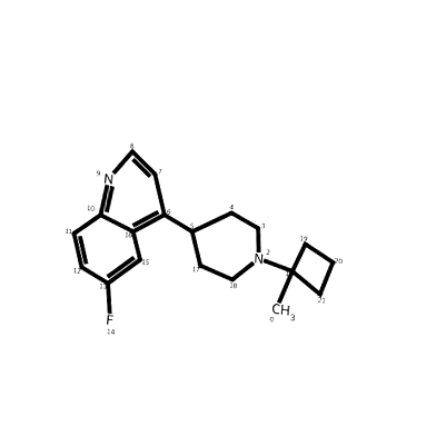 CC1(N2CCC(c3ccnc4ccc(F)cc34)CC2)CCC1